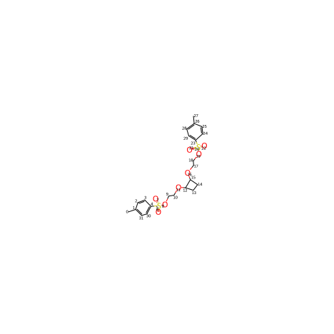 Cc1ccc(S(=O)(=O)OCCOC2CCC2OCCOS(=O)(=O)c2ccc(C)cc2)cc1